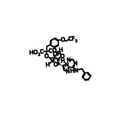 O=C(O)C(Cc1ccc(OCC(F)(F)F)cc1)(OC1[C@H]2O[C@@H](c3cnc4c(NCc5ccccc5)ncnn34)[C@H](O)[C@@]12O)C(=O)O